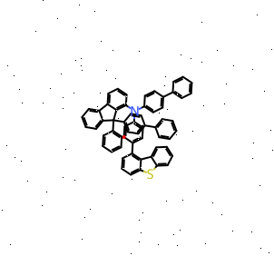 c1ccc(-c2ccc(N(c3ccc(-c4cccc5sc6ccccc6c45)cc3)c3cccc4c3C(c3ccccc3)(c3ccc(-c5ccccc5)cc3)c3ccccc3-4)cc2)cc1